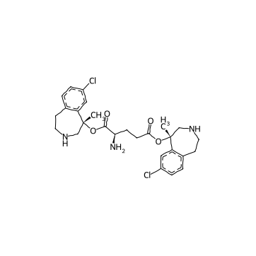 C[C@@]1(OC(=O)CC[C@@H](N)C(=O)O[C@]2(C)CNCCc3ccc(Cl)cc32)CNCCc2ccc(Cl)cc21